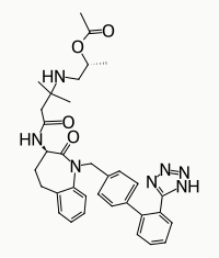 CC(=O)O[C@H](C)CNC(C)(C)CC(=O)N[C@@H]1CCc2ccccc2N(Cc2ccc(-c3ccccc3-c3nnn[nH]3)cc2)C1=O